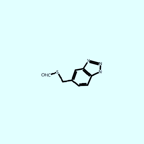 O=CSCc1ccc2c(c1)N=N[N]2